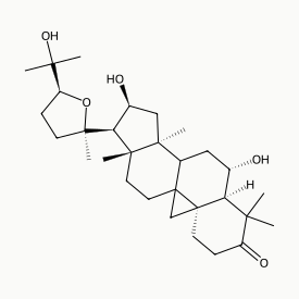 CC(C)(O)[C@@H]1CC[C@](C)([C@H]2[C@@H](O)C[C@@]3(C)C4C[C@H](O)[C@H]5C(C)(C)C(=O)CC[C@@]56CC46CC[C@]23C)O1